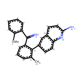 COc1ccccc1C(=N)c1cccc(C)c1-c1ccc2nc(N)ccc2c1